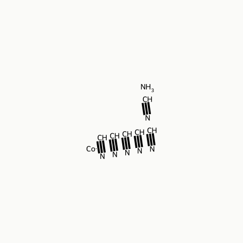 C#N.C#N.C#N.C#N.C#N.C#N.N.[Co]